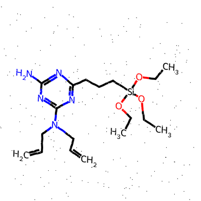 C=CCN(CC=C)c1nc(N)nc(CCC[Si](OCC)(OCC)OCC)n1